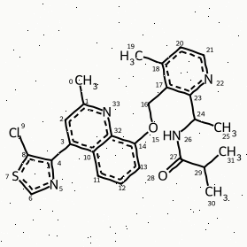 Cc1cc(-c2ncsc2Cl)c2cccc(OCc3c(C)ccnc3C(C)NC(=O)C(C)C)c2n1